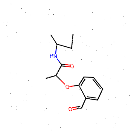 CCC(C)NC(=O)C(C)Oc1ccccc1C=O